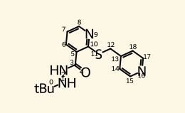 CC(C)(C)NNC(=O)c1cccnc1SCc1ccncc1